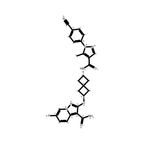 Cc1c(C(=O)N[C@H]2CC3(C2)C[C@H](Oc2nn4cc(F)ccc4c2C(N)=O)C3)cnn1-c1ccc(C#N)cc1